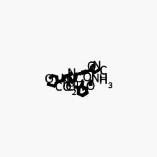 Cc1noc(C#CC2=CC3=NC(C4(C(=O)O)CCOCC4)=CC3=N2)c1NC(=O)OC(C)c1ccccc1Cl